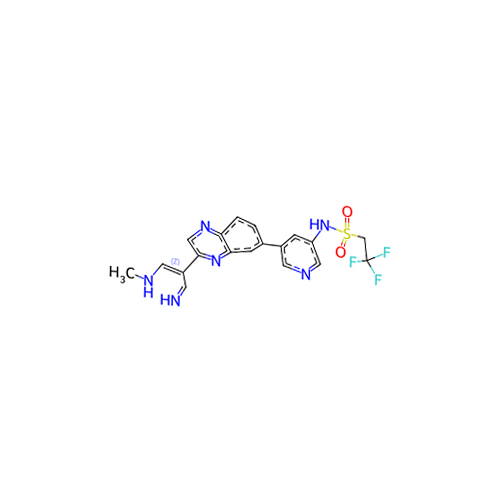 CN/C=C(\C=N)c1cnc2ccc(-c3cncc(NS(=O)(=O)CC(F)(F)F)c3)cc2n1